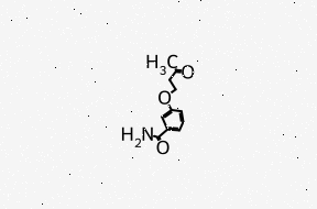 CC(=O)CCOc1cccc(C(N)=O)c1